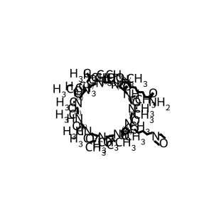 CC[C@@H]1NC(=O)[C@H]([C@H](O)[C@H](C)CCCCCC(N)=O)N(C)C(=O)[C@H](C(C)C)N(C)C(=O)[C@H](CC(C)C)N(C)C(=O)[C@H](CC(C)C)N(C)C(=O)[C@@H](C)NC(=O)[C@H](C)NC(=O)[C@H](CC(C)C)N(C)C(=O)[C@H](C(C)C)NC(=O)[C@H]([C@@H](C)OCCCCN2CCOCC2)N(C)C(=O)[C@@H](C)N(C)C1=O